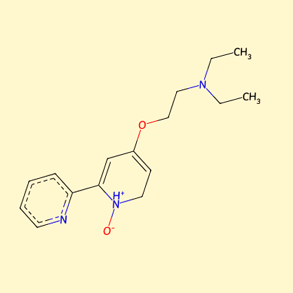 CCN(CC)CCOC1=CC[NH+]([O-])C(c2ccccn2)=C1